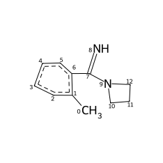 Cc1ccccc1C(=N)N1CCC1